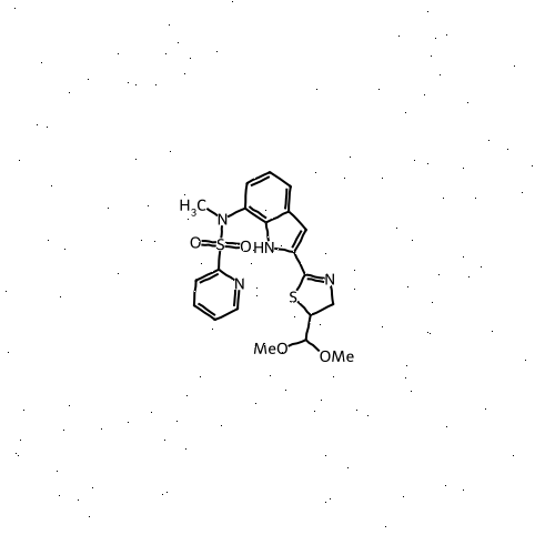 COC(OC)C1CN=C(c2cc3cccc(N(C)S(=O)(=O)c4ccccn4)c3[nH]2)S1